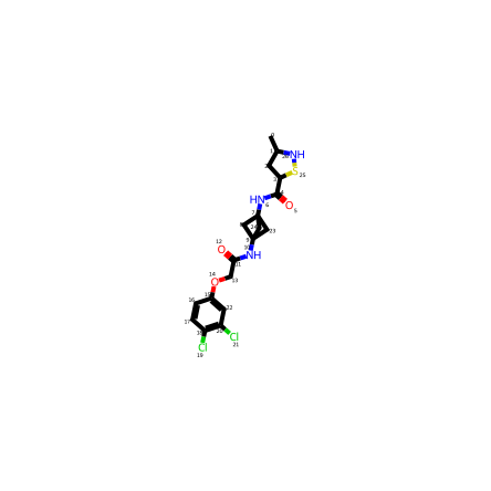 CC1CC(C(=O)NC23CC(NC(=O)COc4ccc(Cl)c(Cl)c4)(C2)C3)SN1